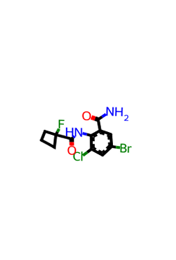 NC(=O)c1cc(Br)cc(Cl)c1NC(=O)C1(F)CCC1